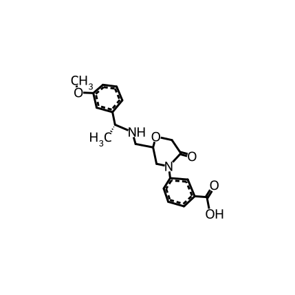 COc1cccc([C@@H](C)NCC2CN(c3cccc(C(=O)O)c3)C(=O)CO2)c1